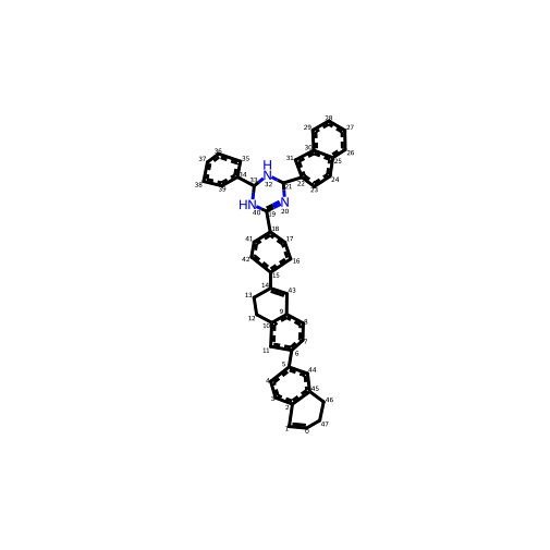 C1=Cc2ccc(-c3ccc4c(c3)CCC(c3ccc(C5=NC(c6ccc7ccccc7c6)NC(c6ccccc6)N5)cc3)=C4)cc2CC1